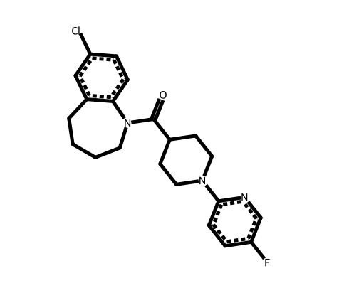 O=C(C1CCN(c2ccc(F)cn2)CC1)N1CCCCc2cc(Cl)ccc21